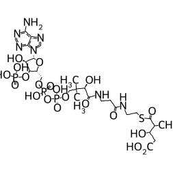 CC(C(=O)SCCNC(=O)CCNC(=O)[C@H](O)C(C)(C)COP(=O)(O)OP(=O)(O)OC[C@H]1O[C@@H](n2cnc3c(N)ncnc32)[C@H](O)[C@@H]1OP(=O)(O)O)C(O)CC(=O)O